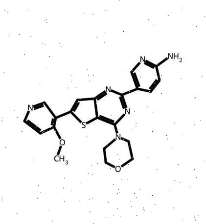 COc1ccncc1-c1cc2nc(-c3ccc(N)nc3)nc(N3CCOCC3)c2s1